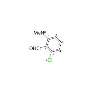 CNc1cccc(Cl)c1C=O